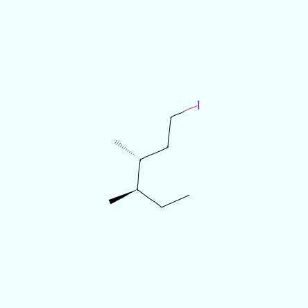 CC[C@@H](C)[C@H](C)CCI